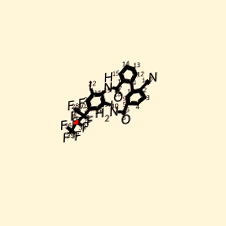 N#Cc1ccc(C(N)=O)cc1-c1ccccc1C(=O)Nc1c(I)cc(C(F)(C(F)(F)F)C(F)(F)C(F)(F)F)cc1I